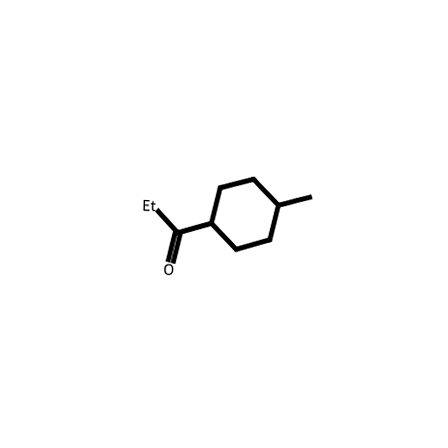 [CH2]CC(=O)C1CCC(C)CC1